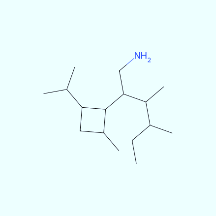 CCC(C)C(C)C(CN)C1C(C)CC1C(C)C